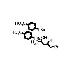 CC(C)CC(O)CC(C)O.CCCCc1ccc(C(=O)O)cc1.CCCCc1ccc(C(=O)O)cc1